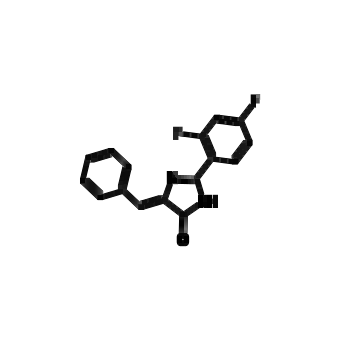 O=C1NC(c2ccc(F)cc2F)=N/C1=C\c1ccccc1